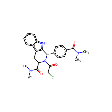 CC(C)N(C(=O)[C@H]1Cc2c([nH]c3ccccc23)[C@H](c2ccc(C(=O)N(C)C)cc2)N1C(=O)CCl)C(C)C